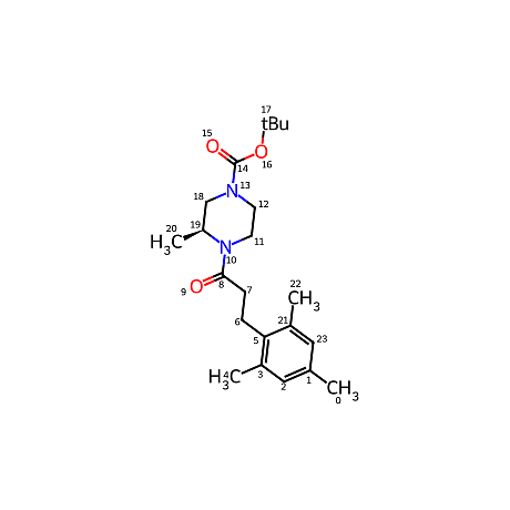 Cc1cc(C)c(CCC(=O)N2CCN(C(=O)OC(C)(C)C)C[C@@H]2C)c(C)c1